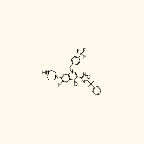 CC(C)(c1ccccc1)c1nc(-c2cn(Cc3ccc(C(F)(F)F)cc3)c3cc(N4CCCNCC4)c(F)cc3c2=O)no1